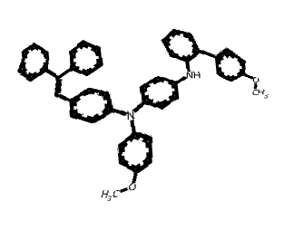 COc1ccc(-c2ccccc2Nc2ccc(N(c3ccc(C=C(c4ccccc4)c4ccccc4)cc3)c3ccc(OC)cc3)cc2)cc1